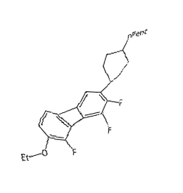 CCCCCC1CCC(c2cc3c(c(F)c2F)-c2c-3ccc(OCC)c2F)CC1